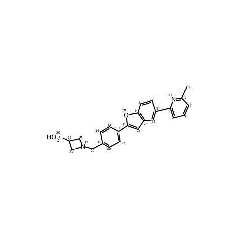 Cc1cccc(-c2ccc3oc(-c4ccc(CN5CC(C(=O)O)C5)cc4)cc3c2)n1